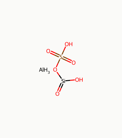 O=[Si](O)OS(=O)(=O)O.[AlH3]